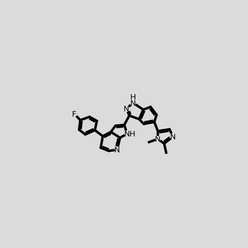 Cc1ncc(-c2ccc3[nH]nc(-c4cc5c(-c6ccc(F)cc6)ccnc5[nH]4)c3c2)n1C